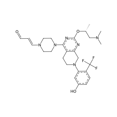 C[C@H](CN(C)C)Oc1nc2c(c(N3CCN(C=CC=O)CC3)n1)CCN(c1cc(O)ccc1C(F)(F)F)C2